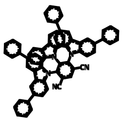 N#Cc1cc(C#N)c(-n2c3ccc(-c4ccccc4)cc3c3cc(-c4ccccc4)ccc32)c(-n2c3ccccc3c3ccccc32)c1-n1c2ccc(-c3ccccc3)cc2c2cc(-c3ccccc3)ccc21